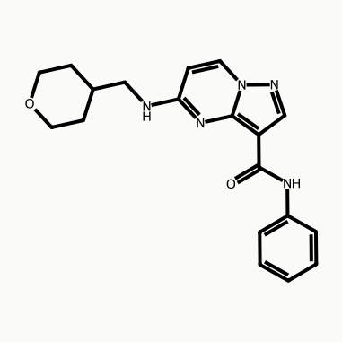 O=C(Nc1ccccc1)c1cnn2ccc(NCC3CCOCC3)nc12